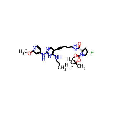 CCCNc1nc(Nc2ccnc(OC)c2)ncc1C#CCCCNC(=O)[C@@H]1C[C@H](F)CN1C(=O)OC(C)(C)C